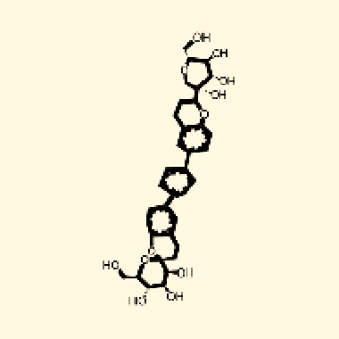 OC[C@H]1OC[C@](O)(C2CCc3cc(-c4ccc(-c5ccc6c(c5)CC[C@]5(O6)O[C@H](CO)[C@@H](O)[C@H](O)[C@@H]5O)cc4)ccc3O2)[C@@H](O)[C@@H]1O